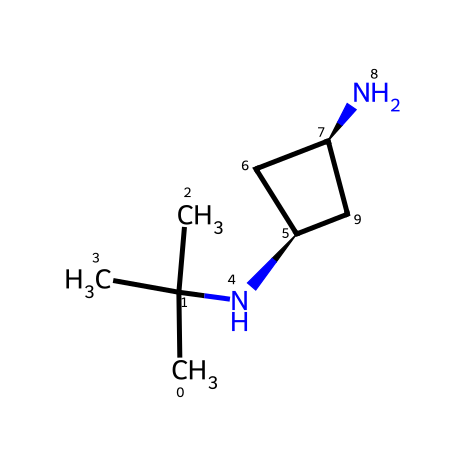 CC(C)(C)N[C@H]1C[C@@H](N)C1